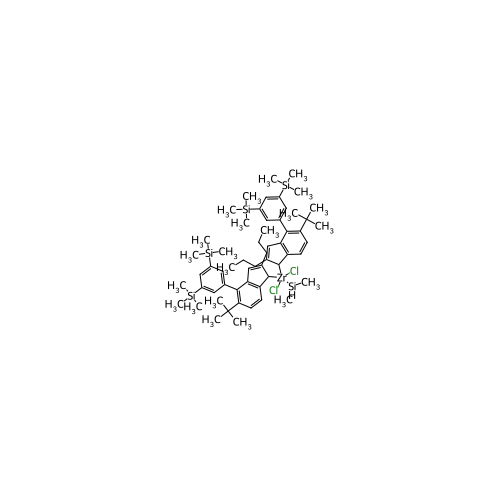 CCCC1=Cc2c(ccc(C(C)(C)C)c2-c2cc([Si](C)(C)C)cc([Si](C)(C)C)c2)[CH]1[Zr]([Cl])([Cl])([CH]1C(CCC)=Cc2c1ccc(C(C)(C)C)c2-c1cc([Si](C)(C)C)cc([Si](C)(C)C)c1)[SiH](C)C